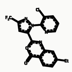 CCc1ccc2c(=O)oc(-c3cc(C(F)(F)F)nn3-c3ncccc3Cl)nc2c1